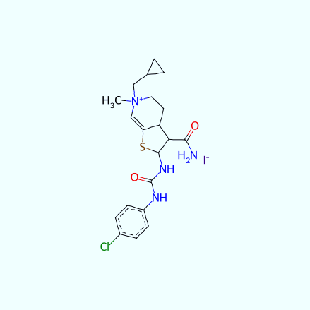 C[N+]1(CC2CC2)C=C2SC(NC(=O)Nc3ccc(Cl)cc3)C(C(N)=O)C2CC1.[I-]